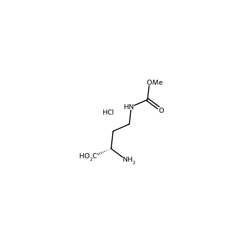 COC(=O)NCC[C@H](N)C(=O)O.Cl